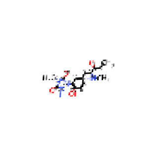 CCC(=O)[C@H](Cc1ccc(O)c(-n2[nH]c(=O)n(C)c2=O)c1)NC